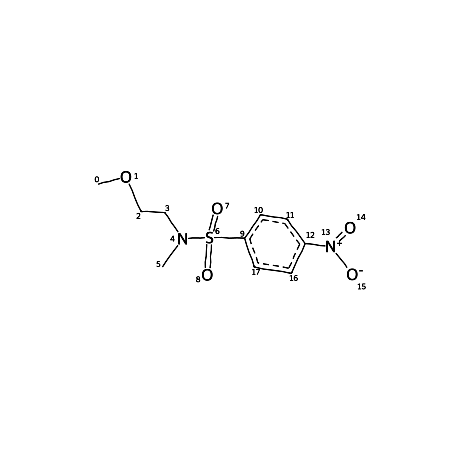 COCCN(C)S(=O)(=O)c1ccc([N+](=O)[O-])cc1